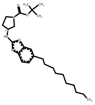 CCCCCCCCCCc1ccc2nc(N[C@H]3CCN(C(=O)OC(C)(C)C)C3)oc2c1